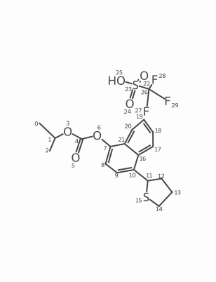 CC(C)OC(=O)Oc1ccc(C2CCCS2)c2ccccc12.O=S(=O)(O)C(F)(F)F